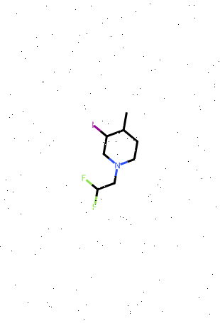 CC1CCN(CC(F)F)CC1I